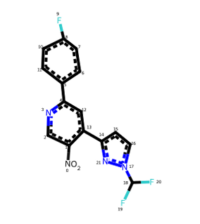 O=[N+]([O-])c1cnc(-c2ccc(F)cc2)cc1-c1ccn(C(F)F)n1